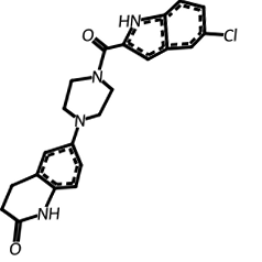 O=C1CCc2cc(N3CCN(C(=O)c4cc5cc(Cl)ccc5[nH]4)CC3)ccc2N1